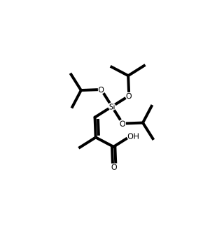 CC(=C[Si](OC(C)C)(OC(C)C)OC(C)C)C(=O)O